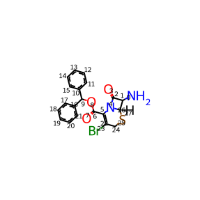 NC1C(=O)N2C(C(=O)OC(c3ccccc3)c3ccccc3)=C(Br)CS[C@@H]12